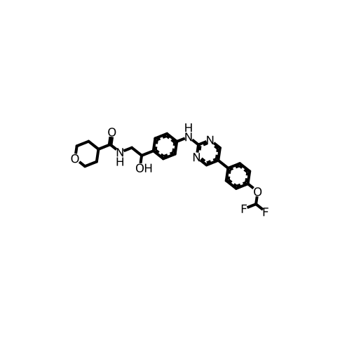 O=C(NCC(O)c1ccc(Nc2ncc(-c3ccc(OC(F)F)cc3)cn2)cc1)C1CCOCC1